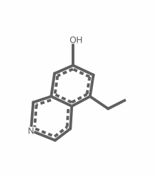 CCc1cc(O)cc2cnccc12